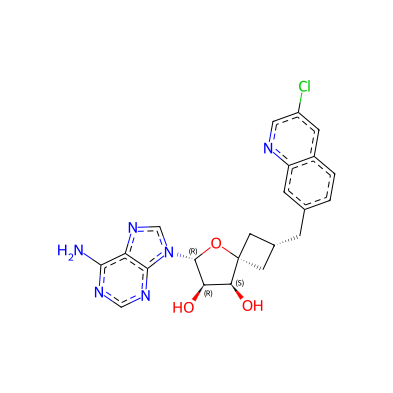 Nc1ncnc2c1ncn2[C@@H]1O[C@]2(C[C@@H](Cc3ccc4cc(Cl)cnc4c3)C2)[C@@H](O)[C@H]1O